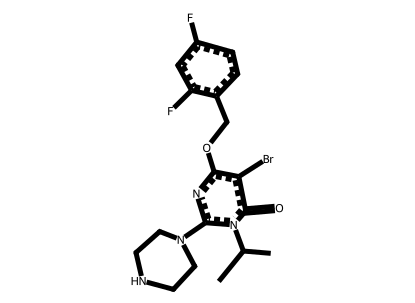 CC(C)n1c(N2CCNCC2)nc(OCc2ccc(F)cc2F)c(Br)c1=O